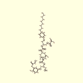 C=C(C=O)Cc1cc(OCC(CO)OC(=O)N2CC3(C)CC(NC(=O)OC(COC(=O)C(=C)C)COc4ccc(CCCCCCCCC)cc4)CC2(C)C3)ccc1C